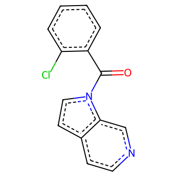 O=C(c1ccccc1Cl)n1ccc2ccncc21